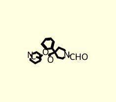 O=CN1CCC(C(=O)OC2CN3CCC2CC3)(c2ccccc2)CC1